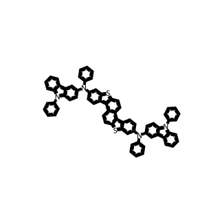 c1ccc(N(c2ccc3c(c2)sc2ccc4c(ccc5sc6cc(N(c7ccccc7)c7ccc8c(c7)c7ccccc7n8-c7ccccc7)ccc6c54)c23)c2ccc3c(c2)c2ccccc2n3-c2ccccc2)cc1